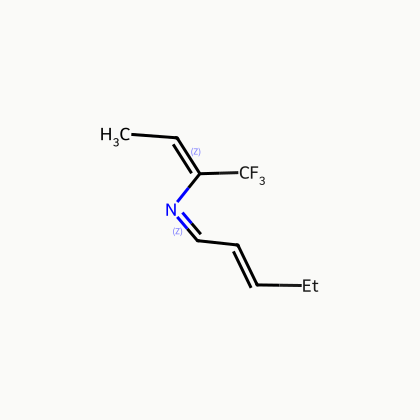 C/C=C(\N=C/C=CCC)C(F)(F)F